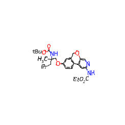 CCOC(=O)Nc1cc2c(cn1)OCc1cc(OCC(C)(CC(C)C)NC(=O)OC(C)(C)C)ccc1-2